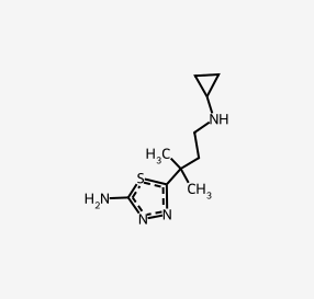 CC(C)(CCNC1CC1)c1nnc(N)s1